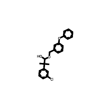 CC(C)(c1cccc(Cl)c1)C(O)OCc1cccc(Oc2ccccc2)c1